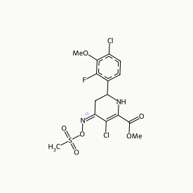 COC(=O)C1=C(Cl)/C(=N\OS(C)(=O)=O)CC(c2ccc(Cl)c(OC)c2F)N1